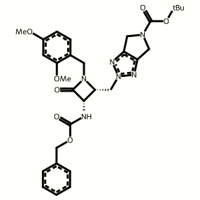 COc1ccc(CN2C(=O)[C@@H](NC(=O)OCc3ccccc3)[C@H]2Cn2nc3c(n2)CN(C(=O)OC(C)(C)C)C3)c(OC)c1